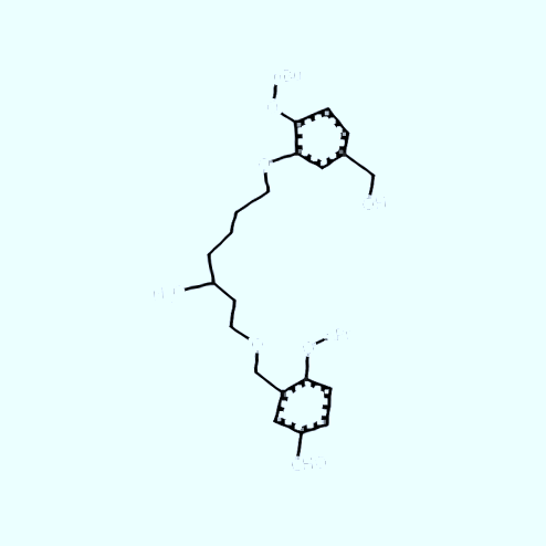 CCCCOc1ccc(CO)cc1OCCCCC(C)CCOCc1cc(C=O)ccc1OCCC